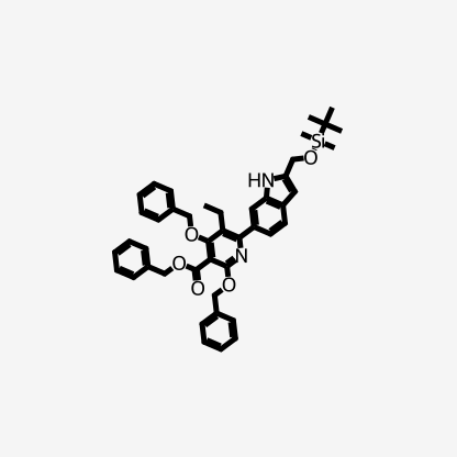 CCc1c(-c2ccc3cc(CO[Si](C)(C)C(C)(C)C)[nH]c3c2)nc(OCc2ccccc2)c(C(=O)OCc2ccccc2)c1OCc1ccccc1